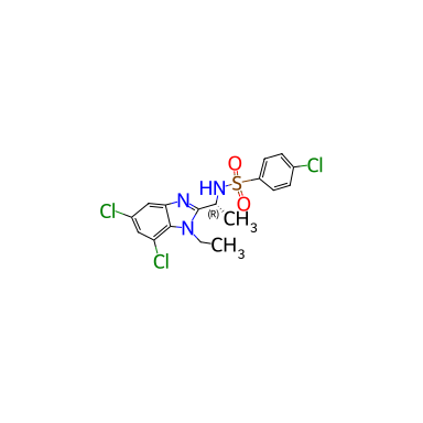 CCn1c([C@@H](C)NS(=O)(=O)c2ccc(Cl)cc2)nc2cc(Cl)cc(Cl)c21